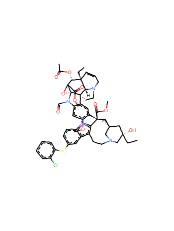 CC[C@]1(O)C[C@H]2CN(CCc3c([nH]c4ccc(Sc5ccccc5Cl)cc34)[C@@](C(=O)OC)(c3cc4c(cc3OC)N(C=O)[C@@]35O[C@]3(C(=O)OC)[C@H](OC(C)=O)[C@]3(CC)C=CCN6CC[C@]45[C@@H]63)C2)C1